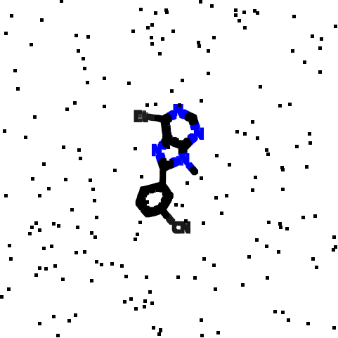 CCc1ncnc2c1nc(-c1cccc(C#N)c1)n2C